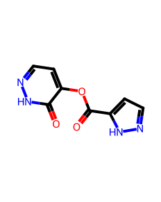 O=C(Oc1ccn[nH]c1=O)c1ccn[nH]1